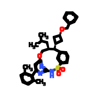 Cc1cccc(C)c1-c1cc2nc(n1)NS(=O)(=O)c1cccc(c1)C([C@H]1C[C@@H](OCc3ccccc3)C1)[C@H](CC(C)C)CO2